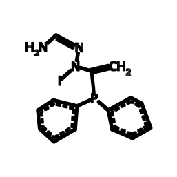 C=C(N(I)/N=C\N)P(c1ccccc1)c1ccccc1